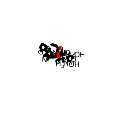 CO[C@H]1[C@@]2(C)/C=C\Cn3c4c(c5c6c(c7c(c53)[N@@+]1(N(CC(=O)C(C)O[C@@H]1[C@@H](N)[C@@H](O)O[C@H](CO)[C@H]1O)C(C)=O)C1=C7C=C[C@@H](C1)O2)C=NC=6)C(=O)CCC=4